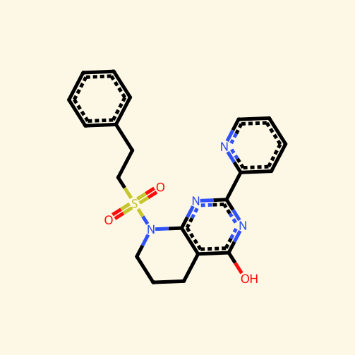 O=S(=O)(CCc1ccccc1)N1CCCc2c(O)nc(-c3ccccn3)nc21